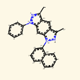 Cc1nn(-c2ccccc2)c2cc3c(cc12)c(C)nn3-c1cccc2ccccc12